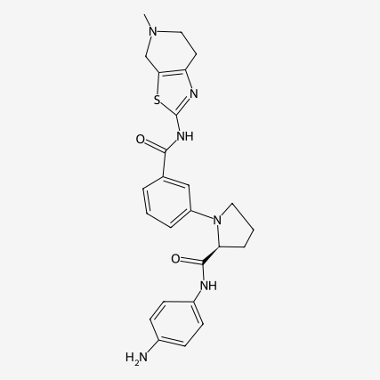 CN1CCc2nc(NC(=O)c3cccc(N4CCC[C@H]4C(=O)Nc4ccc(N)cc4)c3)sc2C1